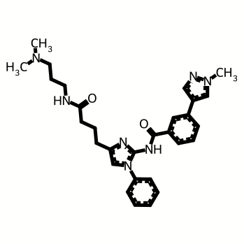 CN(C)CCCNC(=O)CCCc1cn(-c2ccccc2)c(NC(=O)c2cccc(-c3cnn(C)c3)c2)n1